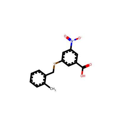 Cc1ccccc1CSc1cc(C(=O)O)cc([N+](=O)[O-])c1